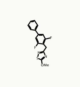 COc1nc(Cc2c(F)cc(-c3ccccc3)cc2F)ns1